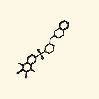 Cn1c(=O)c(=O)n(C)c2cc(S(=O)(=O)N3CCCC(CN4CCc5ccccc5C4)C3)ccc21